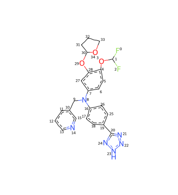 FC(F)Oc1ccc(N(Cc2cccnc2)c2ccc(-c3nn[nH]n3)cc2)cc1OC1CCCO1